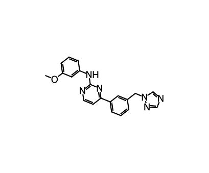 COc1cccc(Nc2nccc(-c3cccc(Cn4cncn4)c3)n2)c1